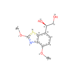 CC(C)Oc1nc2c(OC(C)(C)C)ccc([C@@H](O)CO)c2s1